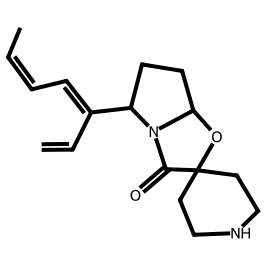 C=C/C(=C\C=C/C)C1CCC2OC3(CCNCC3)C(=O)N21